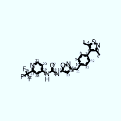 Cc1nsc(C)c1-c1ccc(C[n+]2cc([N-]C(=O)Nc3ccnc(C(F)(F)F)c3)on2)cc1